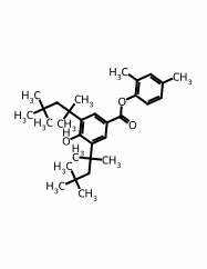 Cc1ccc(OC(=O)c2cc(C(C)(C)CC(C)(C)C)c(O)c(C(C)(C)CC(C)(C)C)c2)c(C)c1